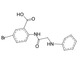 O=C(CNc1ccccc1)Nc1ccc(Br)cc1C(=O)O